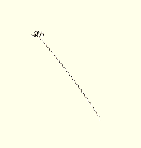 O=C(CCCCCCCCCCCCCCCCCCCCCCCCCCCCCCCCCCCCCCI)NO